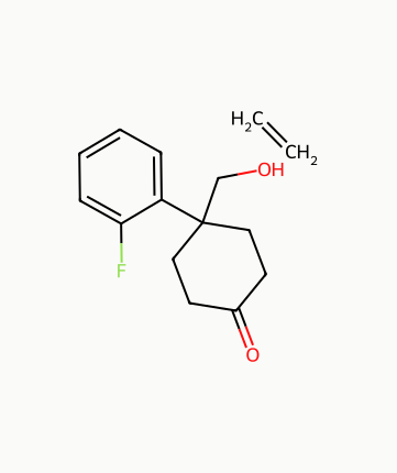 C=C.O=C1CCC(CO)(c2ccccc2F)CC1